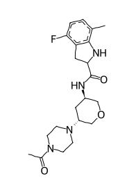 CC(=O)N1CCN([C@H]2COC[C@H](NC(=O)C3Cc4c(F)ccc(C)c4N3)C2)CC1